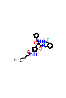 CCCCCC(=O)Nc1ccc(-c2oc(-c3ccccc3)nc2C(=O)NCc2ccccc2C(F)(F)F)cc1